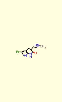 CNCCC1Cc2cc(Br)cnc2NC1=O